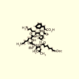 C=C(C)C[C@H](NC(=O)CCCCCCCCCCCCCCC)C(=O)N[C@H](C(=O)N[C@@H](CCCCN)C(=O)N[C@@H](CCCCN)C(=O)N1CCC[C@H]1C(=O)N[C@@H](Cc1ccccc1)C(=O)O)[C@@H](C)CC